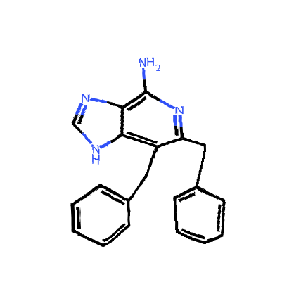 Nc1nc(Cc2ccccc2)c(Cc2ccccc2)c2[nH]cnc12